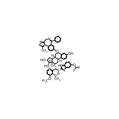 COc1ccnc(C[S+]([O-])c2nc3cc(OC(F)F)ccc3[nH]2)c1OC.C[C@]12CC[C@@H]3c4ccc(O)cc4CC[C@H]3[C@@H]1C[C@@H](O)[C@@H]2O.Cc1nnc2n1-c1ccc(Cl)cc1C(c1ccccc1)=NC2